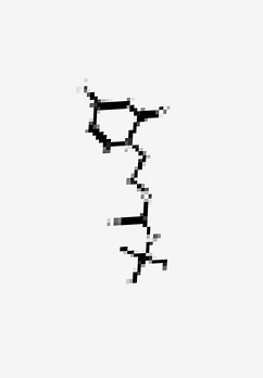 CC(C)(C)OC(=O)NCCn1ccc(Br)cc1=O